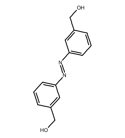 OCc1cccc(/N=N/c2cccc(CO)c2)c1